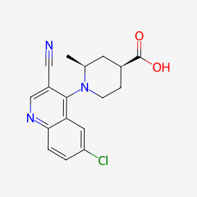 C[C@H]1C[C@@H](C(=O)O)CCN1c1c(C#N)cnc2ccc(Cl)cc12